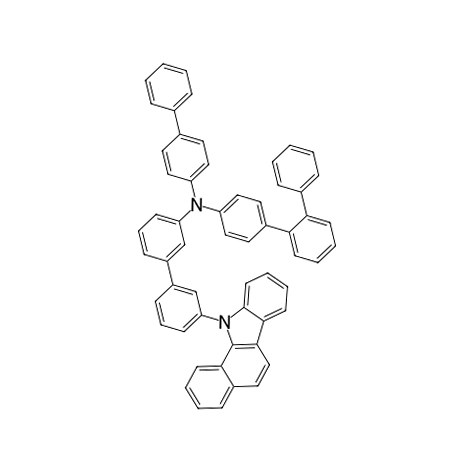 c1ccc(-c2ccc(N(c3ccc(-c4ccccc4-c4ccccc4)cc3)c3cccc(-c4cccc(-n5c6ccccc6c6ccc7ccccc7c65)c4)c3)cc2)cc1